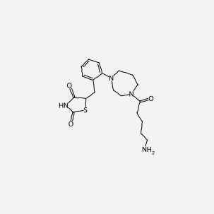 NCCCCC(=O)N1CCCN(c2ccccc2CC2SC(=O)NC2=O)CC1